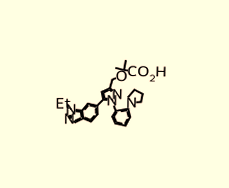 CCn1ncc2ccc(-c3cc(COC(C)(C)C(=O)O)nn3-c3ccccc3N3CCCC3)cc21